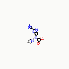 COc1cc(OC)cc(N(CCN2CCC(C)CC2)c2ccc3ncc(-c4cnn(C)c4)nc3c2)c1